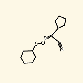 N#CC(=NOSC1CCCCC1)C1CCCC1